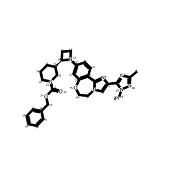 Cc1nc(-c2cn3c(n2)-c2ccc(N4CC[C@@H]4C4CCCN(C(=O)OCc5ccccc5)C4)cc2OCC3)n(C(C)C)n1